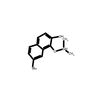 C[SiH](C)Oc1c(O)ccc2ccc(C(C)(C)C)cc12